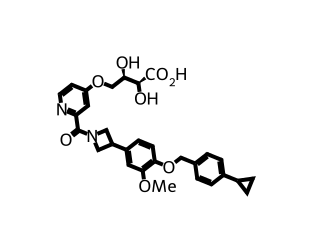 COc1cc(C2CN(C(=O)c3cc(OC[C@@H](O)[C@H](O)C(=O)O)ccn3)C2)ccc1OCc1ccc(C2CC2)cc1